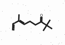 C=CC(C)=CCCC(=O)C(C)(C)C